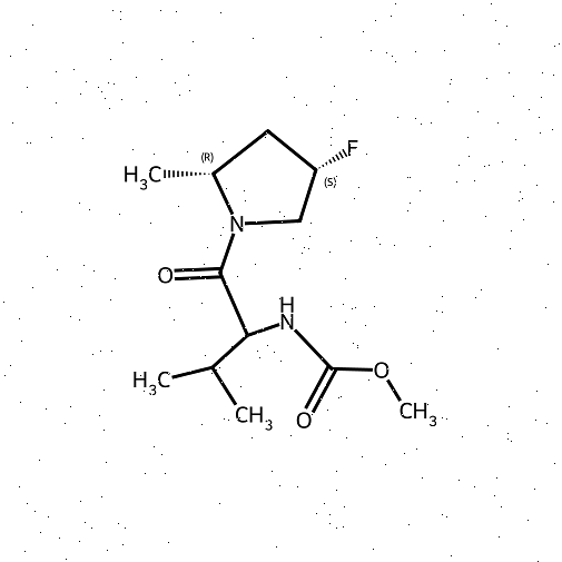 COC(=O)NC(C(=O)N1C[C@@H](F)C[C@H]1C)C(C)C